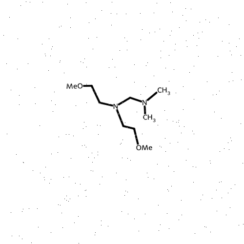 COCCN(CCOC)CN(C)C